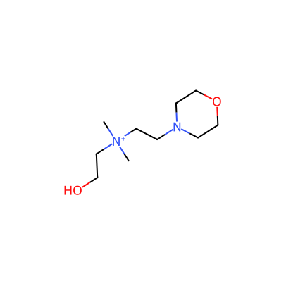 C[N+](C)(CCO)CCN1CCOCC1